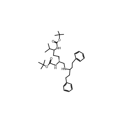 CC(C)C(CC[C@@H](CNC(CCc1ccccc1)CCc1ccccc1)NC(=O)OC(C)(C)C)NC(=O)OC(C)(C)C